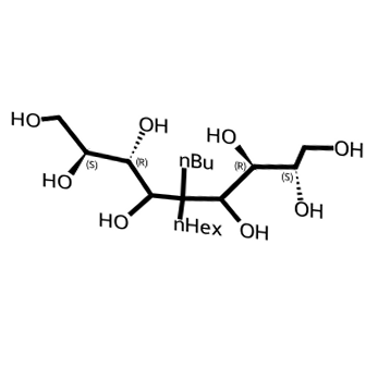 CCCCCCC(CCCC)(C(O)[C@@H](O)[C@@H](O)CO)C(O)[C@@H](O)[C@@H](O)CO